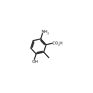 Cc1c(O)ccc(N)c1C(=O)O